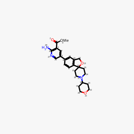 COC(=O)c1cc(-c2ccc3c(c2)COC32CCN(C3CCOCC3)CC2)cnc1N